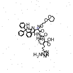 Nn1nnnc1SCC1=C(C(=O)O)N2C(=O)[C@@H](NC(=O)/C(=N\OCCOC3CCCCO3)c3csc(NC(c4ccccc4)(c4ccccc4)c4ccccc4)n3)[C@@H]2SC1